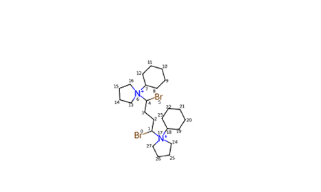 BrC(CCC(Br)[N+]1(C2CCCCC2)CCCC1)[N+]1(C2CCCCC2)CCCC1